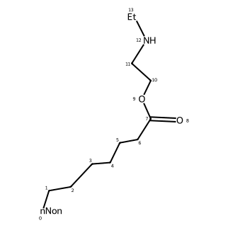 CCCCCCCCCCCCCCCC(=O)OCCNCC